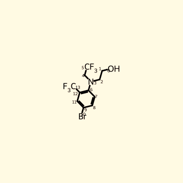 OCCN(CC(F)(F)F)c1ccc(Br)cc1C(F)(F)F